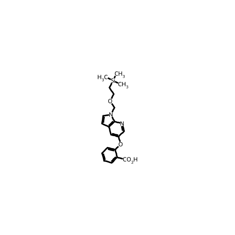 C[Si](C)(C)CCOCn1ccc2cc(Oc3ccccc3C(=O)O)cnc21